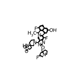 CCc1c(F)ccc2cc(O)cc(-c3ncc4c(N5CCCC6(CCS(=O)(=O)N6)C5)nc(OC[C@@]56CCCN5C[C@H](F)C6)nc4c3F)c12